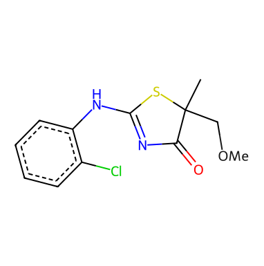 COCC1(C)SC(Nc2ccccc2Cl)=NC1=O